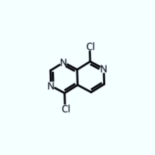 Clc1ncnc2c(Cl)nccc12